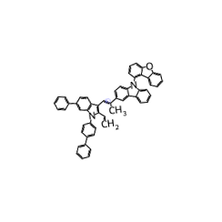 C=Cc1c(/C=C(\C)c2ccc3c(c2)c2ccccc2n3-c2cccc3oc4ccccc4c23)c2ccc(-c3ccccc3)cc2n1-c1ccc(-c2ccccc2)cc1